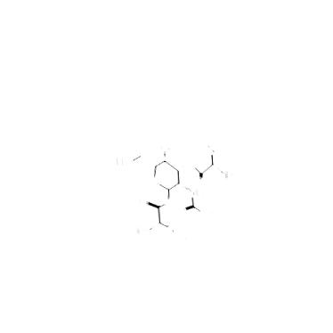 CCCC(=O)N[C@H]1C(OC(=O)[C@@H](N)C(C)C)O[C@H](CO)[C@@H](O)[C@@H]1OC(=O)[C@@H](N)C(C)C.Cl